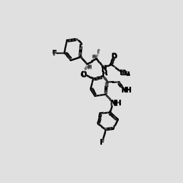 C[C@H](NC(=O)C(C)(C)C)[C@H](Oc1ccc(Nc2ccc(F)cc2)c(C=N)c1)c1cccc(F)c1